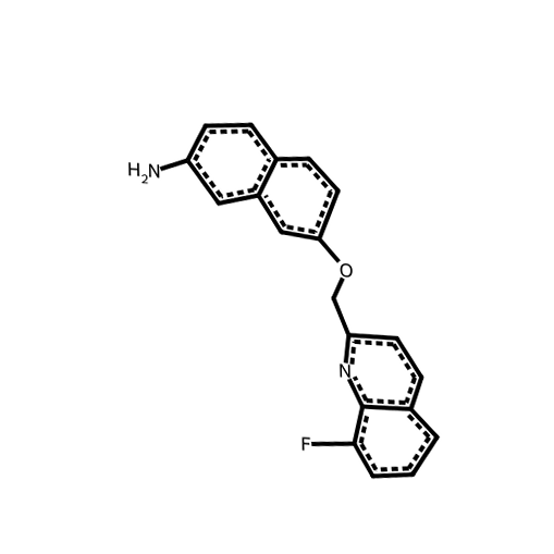 Nc1ccc2ccc(OCc3ccc4cccc(F)c4n3)cc2c1